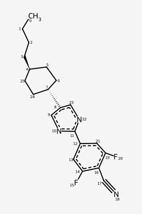 CCCC[C@H]1CC[C@H](c2cnc(-c3cc(F)c(C#N)c(F)c3)nc2)CC1